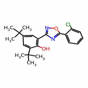 CC(C)(C)c1cc(-c2noc(-c3ccccc3Cl)n2)c(O)c(C(C)(C)C)c1